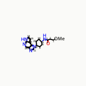 COCCC(=O)N[C@H]1CC[C@H](n2cnc3cnc4[nH]ccc4c32)CC1